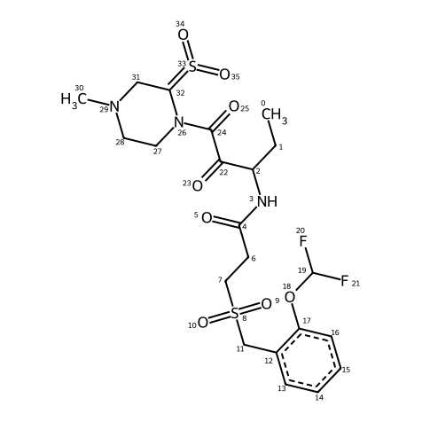 CCC(NC(=O)CCS(=O)(=O)Cc1ccccc1OC(F)F)C(=O)C(=O)N1CCN(C)CC1=S(=O)=O